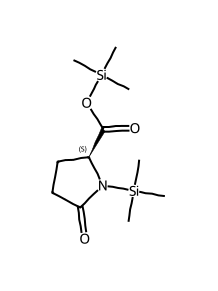 C[Si](C)(C)OC(=O)[C@@H]1CCC(=O)N1[Si](C)(C)C